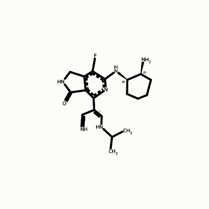 CC(C)N/C=C(\C=N)c1nc(N[C@@H]2CCCC[C@@H]2N)c(F)c2c1C(=O)NC2